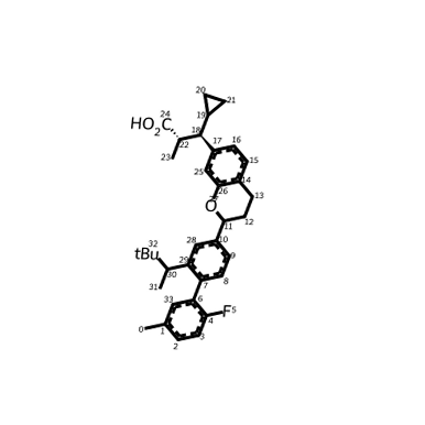 Cc1ccc(F)c(-c2ccc(C3CCc4ccc([C@H](C5CC5)[C@H](C)C(=O)O)cc4O3)cc2C(C)C(C)(C)C)c1